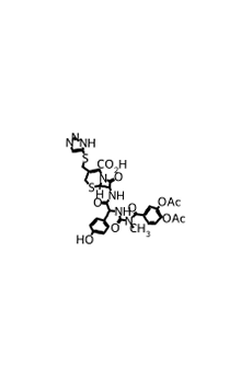 CC(=O)Oc1ccc(C(=O)N(C)C(=O)NC(C(=O)NC2C(=O)N3C(C(=O)O)=C(CSc4cnn[nH]4)CS[C@@H]23)c2ccc(O)cc2)cc1OC(C)=O